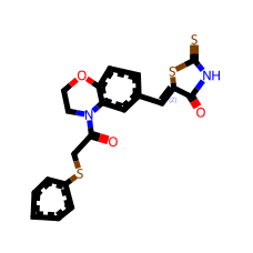 O=C1NC(=S)S/C1=C\c1ccc2c(c1)N(C(=O)CSc1ccccc1)CCO2